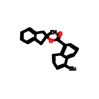 CCC(C)c1cccc2c(C(=O)OC3(C)Cc4ccccc4C3)cccc12